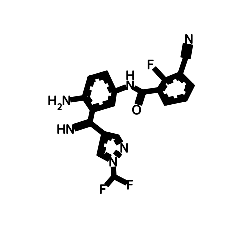 N#Cc1cccc(C(=O)Nc2ccc(N)c(C(=N)c3cnn(C(F)F)c3)c2)c1F